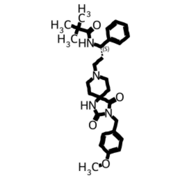 COc1ccc(CN2C(=O)NC3(CCN(CC[C@H](NC(=O)C(C)(C)C)c4ccccc4)CC3)C2=O)cc1